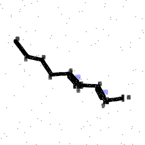 CCCC/C=[SH]/C=N/I